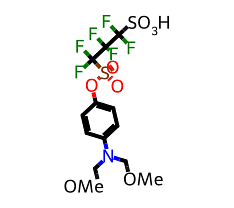 COCN(COC)c1ccc(OS(=O)(=O)C(F)(F)C(F)(F)C(F)(F)S(=O)(=O)O)cc1